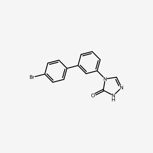 O=c1[nH]ncn1-c1cccc(-c2ccc(Br)cc2)c1